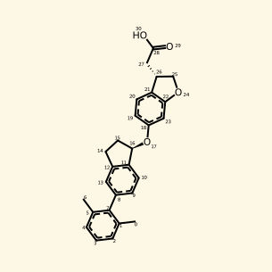 Cc1cccc(C)c1-c1ccc2c(c1)CC[C@H]2Oc1ccc2c(c1)OC[C@H]2CC(=O)O